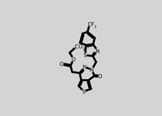 O=C(O)COC(=O)Cc1nn(Cc2nc3cc(C(F)(F)F)ccc3s2)c(=O)c2cscc12